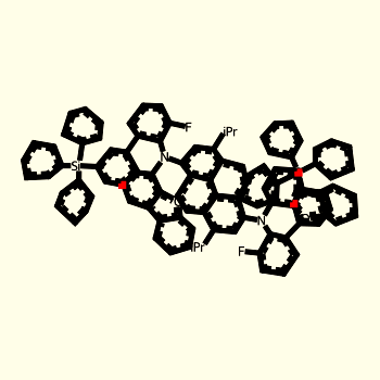 CC(C)c1cc(N(c2c(F)cccc2-c2cccc([Si](c3ccccc3)(c3ccccc3)c3ccccc3)c2)c2cccc3c2oc2ccccc23)c2ccc3c(C(C)C)cc(N(c4c(F)cccc4-c4cccc(S(c5ccccc5)(c5ccccc5)c5ccccc5)c4)c4cccc5c4oc4ccccc45)c4ccc1c2c34